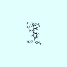 CC(C)c1nsc(NC(=O)C(C)(C)C)n1